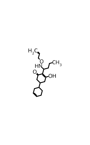 C=CCONC(CCC)C1=C(O)CC(C2CC=CCC2)CC1=O